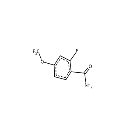 NC(=O)c1ccc(OC(F)(F)F)cc1F